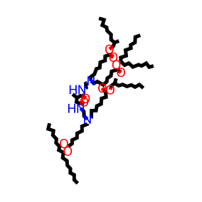 CCCCCCCCC(CCCCCCCC)OC(=O)CCCCCCCN(CCCCCCCC(=O)OCC(C)CCCCCCC)CCNC(=O)CC(C)C(=O)NCCN(CCCCCCCC(=O)OCC(C)CCCCCCC)CCCCCCCC(=O)OC(CCCCCCCC)CCCCCCCC